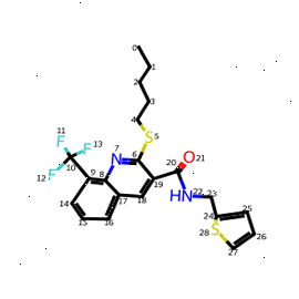 CCCCCSc1nc2c(C(F)(F)F)cccc2cc1C(=O)NCc1cccs1